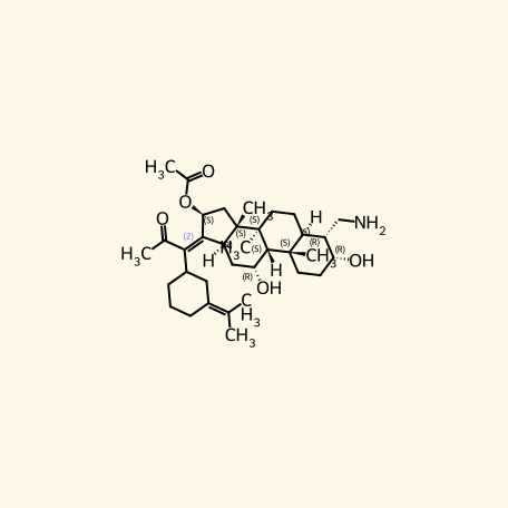 CC(=O)O[C@H]1C[C@@]2(C)[C@@H](C[C@@H](O)[C@H]3[C@@]4(C)CC[C@@H](O)[C@@H](CN)[C@@H]4CC[C@@]32C)/C1=C(/C(C)=O)C1CCCC(=C(C)C)C1